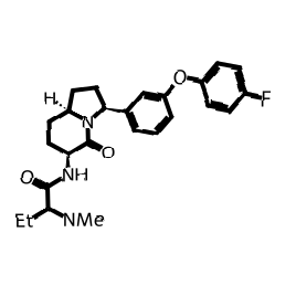 CCC(NC)C(=O)N[C@H]1CC[C@H]2CC[C@@H](c3cccc(Oc4ccc(F)cc4)c3)N2C1=O